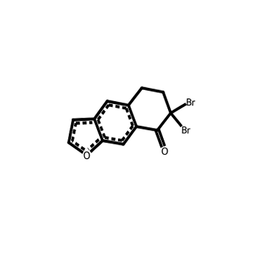 O=C1c2cc3occc3cc2CCC1(Br)Br